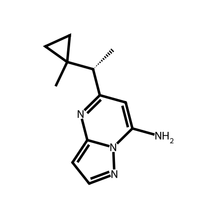 C[C@H](c1cc(N)n2nccc2n1)C1(C)CC1